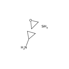 C1CO1.NC1CC1.[SiH4]